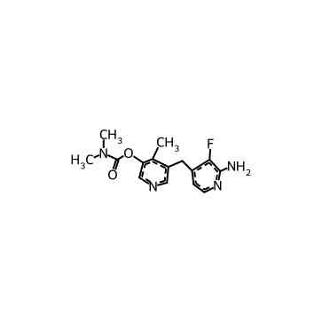 Cc1c(Cc2ccnc(N)c2F)cncc1OC(=O)N(C)C